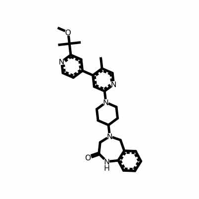 COC(C)(C)c1cc(-c2cc(N3CCC(N4CC(=O)Nc5ccccc5C4)CC3)ncc2C)ccn1